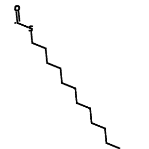 CCCCCCCCCCCCS[C]=O